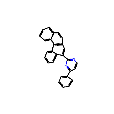 c1ccc(-c2ccnc(-c3cc4ccc5ccccc5c4c4ccccc34)n2)cc1